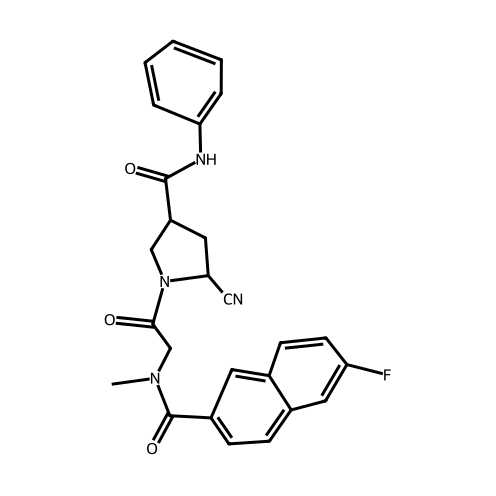 CN(CC(=O)N1CC(C(=O)Nc2ccccc2)CC1C#N)C(=O)c1ccc2cc(F)ccc2c1